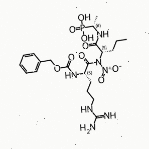 CCC[C@@H](C(=O)N[C@@H](C)P(=O)(O)O)N(C(=O)[C@H](CCCNC(=N)N)NC(=O)OCc1ccccc1)[N+](=O)[O-]